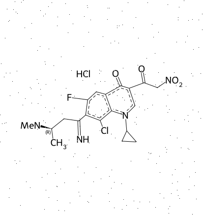 CN[C@H](C)CC(=N)c1c(F)cc2c(=O)c(C(=O)C[N+](=O)[O-])cn(C3CC3)c2c1Cl.Cl